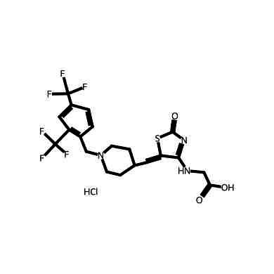 Cl.O=C(O)CNC1=NC(=O)S/C1=C\C1CCN(Cc2ccc(C(F)(F)F)cc2C(F)(F)F)CC1